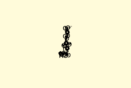 COc1cc(COC(=O)Oc2ccc([N+](=O)[O-])cc2)cc(OC)c1-c1ccc(C[C@H](NC(=O)[C@@]2(C)CCCO2)C(=O)O)cc1